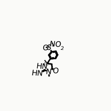 CN1C(=N)N[C@](C)(c2cccc([S+]([O-])[N+](=O)[O-])c2)CC1=O